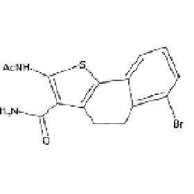 CC(=O)Nc1sc2c(c1C(N)=O)CCc1c(Br)cccc1-2